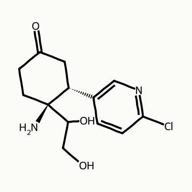 N[C@@]1(C(O)CO)CCC(=O)C[C@@H]1c1ccc(Cl)nc1